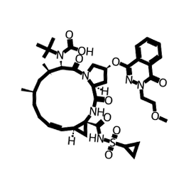 COCCn1nc(O[C@@H]2C[C@H]3C(=O)N[C@]4(C(=O)NS(=O)(=O)C5CC5)C[C@H]4/C=C\CC[C@@H](C)C[C@@H](C)[C@H](N(C(=O)O)C(C)(C)C)C(=O)N3C2)c2ccccc2c1=O